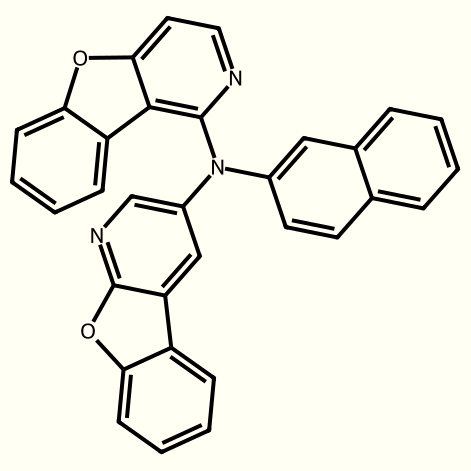 c1ccc2cc(N(c3cnc4oc5ccccc5c4c3)c3nccc4oc5ccccc5c34)ccc2c1